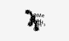 COc1cc2c(NC(C)CNCC3CCCO3)nc(N3CCCC3)nc2cc1C#CCN1CCCC1